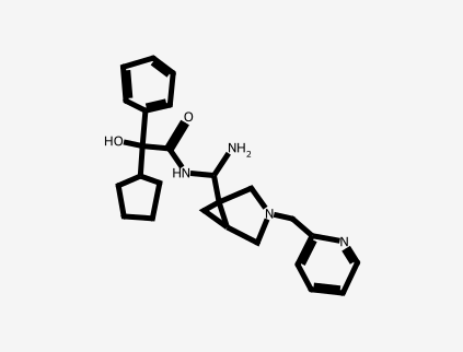 NC(NC(=O)C(O)(c1ccccc1)C1CCCC1)C12CC1CN(Cc1ccccn1)C2